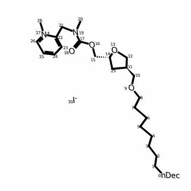 CCCCCCCCCCCCCCCCCCOC[C@@H]1CO[C@@H](COC(=O)N(C)Cc2cccc[n+]2C)C1.[I-]